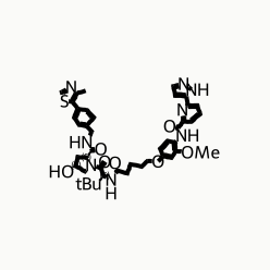 COc1cc(OCCCCC(=O)N[C@H](C(=O)N2C[C@H](O)C[C@H]2C(=O)NCc2ccc(-c3scnc3C)cc2)C(C)(C)C)ccc1NC(=O)c1cccc(-c2ccn[nH]2)n1